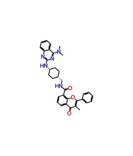 Cc1c(-c2ccccc2)oc2c(C(=O)NC[C@H]3CC[C@@H](Nc4nc(N(C)C)c5ccccc5n4)CC3)cccc2c1=O